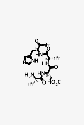 CC(C)C(=O)[C@H](Cc1cnc[nH]1)NC(=O)[C@@H](NC(=O)[C@H](CC(=O)O)NC(=O)[C@@H](N)C(C)C)C(C)C